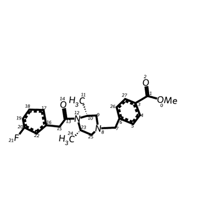 COC(=O)c1ccc(CN2C[C@@H](C)N(C(=O)Cc3cccc(F)c3)[C@@H](C)C2)cc1